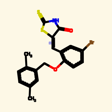 Cc1ccc(C)c(COc2ccc(Br)cc2/C=C2/SC(=S)NC2=O)c1